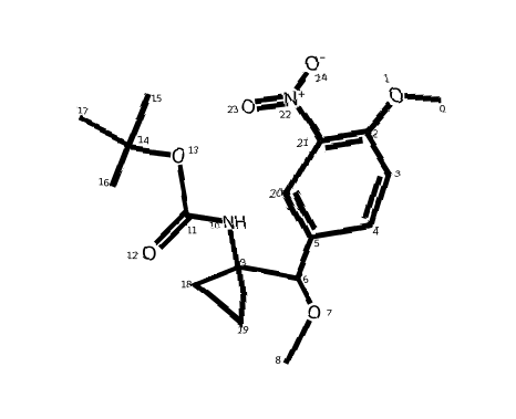 COc1ccc(C(OC)C2(NC(=O)OC(C)(C)C)CC2)cc1[N+](=O)[O-]